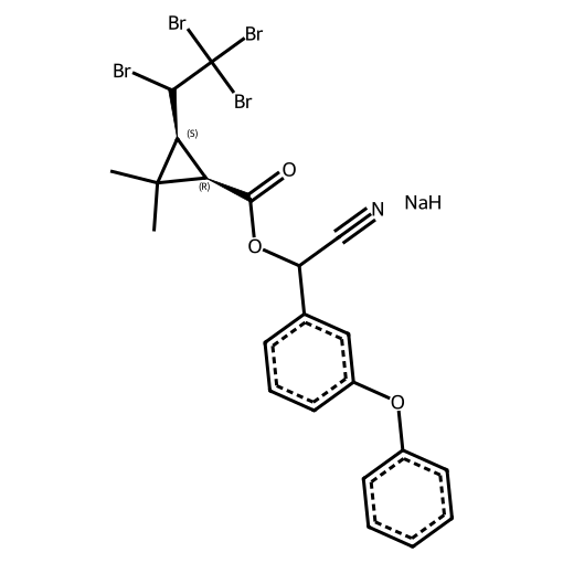 CC1(C)[C@H](C(=O)OC(C#N)c2cccc(Oc3ccccc3)c2)[C@@H]1C(Br)C(Br)(Br)Br.[NaH]